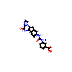 O=C(Nc1cccc(C(=O)O)c1)Nc1ccc2c(c1)Cc1c-2[nH]c(=O)c2nccn12